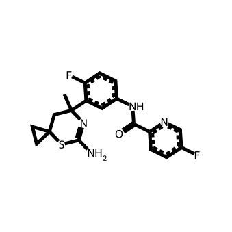 CC1(c2cc(NC(=O)c3ccc(F)cn3)ccc2F)CC2(CC2)SC(N)=N1